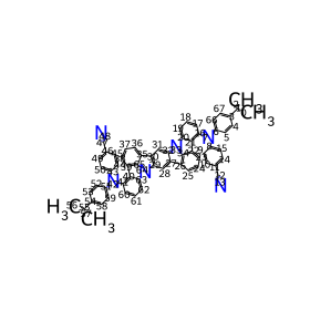 CC(C)c1ccc(N(c2ccc(C#N)cc2)c2cccc3c2c2cccc4c5cc6c(cc5n3c42)c2cccc3c4c(N(c5ccc(C#N)cc5)c5ccc(C(C)C)cc5)cccc4n6c23)cc1